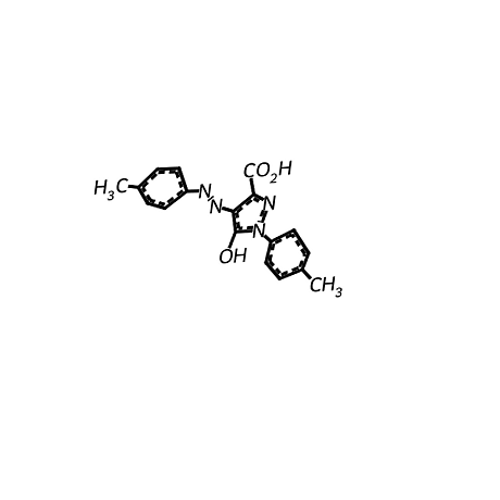 Cc1ccc(N=Nc2c(C(=O)O)nn(-c3ccc(C)cc3)c2O)cc1